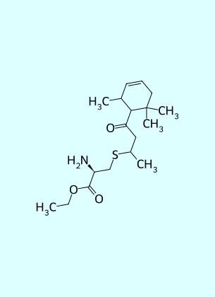 CCOC(=O)[C@@H](N)CSC(C)CC(=O)C1C(C)C=CCC1(C)C